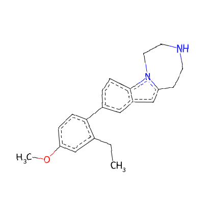 CCc1cc(OC)ccc1-c1ccc2c(c1)cc1n2CCNCC1